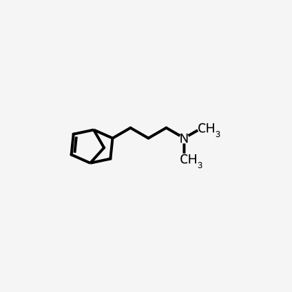 CN(C)CCCC1CC2C=CC1C2